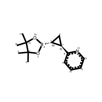 CC1(C)OB([C@@H]2C[C@H]2c2ccccn2)OC1(C)C